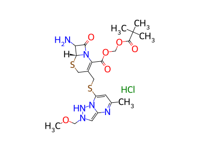 COCN1C=C2N=C(C)C=C(SCC3=C(C(=O)OCOC(=O)C(C)(C)C)N4C(=O)C(N)[C@H]4SC3)N2N1.Cl